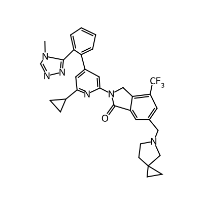 Cn1cnnc1-c1ccccc1-c1cc(C2CC2)nc(N2Cc3c(cc(CN4CCC5(CC5)C4)cc3C(F)(F)F)C2=O)c1